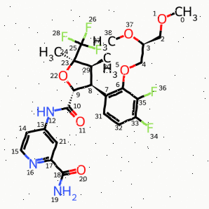 COC[C@@H](COc1c([C@H]2[C@H](C(=O)Nc3ccnc(C(N)=O)c3)O[C@@](C)(C(F)(F)F)[C@H]2C)ccc(F)c1F)OC